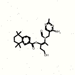 C/C(=C(\CCO)SC(=O)c1ccc2c(c1)C(C)(C)CCC2(C)C)N(C=O)Cc1cnc(C)nc1N